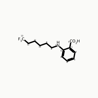 O=C(O)c1ccccc1NCCCCCC(F)(F)F